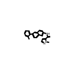 C=C(Nc1ccc2cc(-c3ccccc3C)ccc2c1)c1ccnn1C